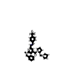 CN(Cc1ccccc1)c1cc(C(=O)N2CCC[C@H]2CN2CCCC2)cc(/C=C/c2ccc(C(F)(F)F)cc2)n1